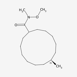 CON(C)C(=O)C1CCCCCC[C@H](C)CCCCC1